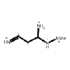 CNNC(N)CC=N